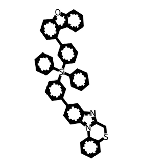 c1ccc([Si](c2ccccc2)(c2cccc(-c3ccc4c(c3)nc3n4-c4ccccc4SC3)c2)c2cccc(-c3cccc4oc5ccccc5c34)c2)cc1